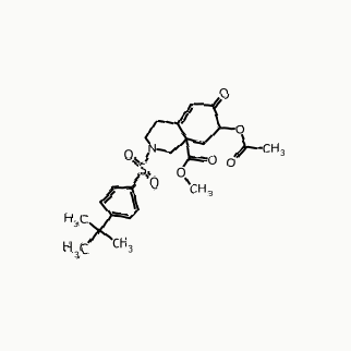 COC(=O)C12CC(OC(C)=O)C(=O)C=C1CCN(S(=O)(=O)c1ccc(C(C)(C)C)cc1)C2